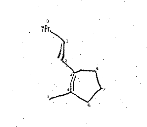 CCCC=CC1=C(C)CCC1